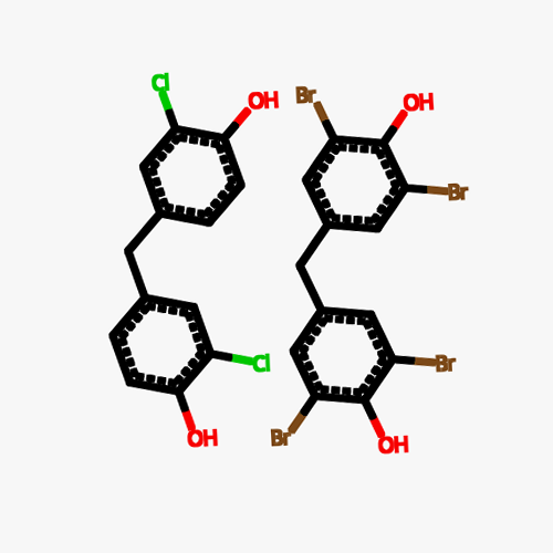 Oc1c(Br)cc(Cc2cc(Br)c(O)c(Br)c2)cc1Br.Oc1ccc(Cc2ccc(O)c(Cl)c2)cc1Cl